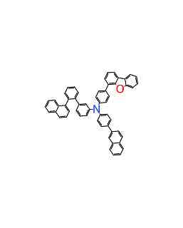 c1cc(-c2ccccc2-c2cccc3ccccc23)cc(N(c2ccc(-c3ccc4ccccc4c3)cc2)c2ccc(-c3cccc4c3oc3ccccc34)cc2)c1